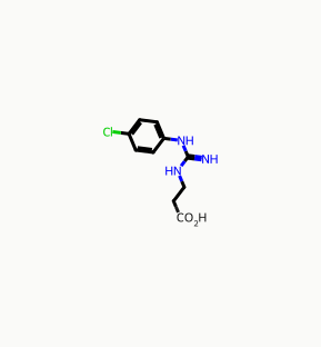 N=C(NCCC(=O)O)Nc1ccc(Cl)cc1